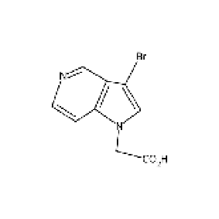 O=C(O)Cn1cc(Br)c2cnccc21